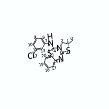 CC1CN(C(=S)Nc2cccc(Cl)c2)/C(=N\c2ccccc2)S1